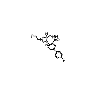 O=C1NC[C@H]2CN(CCF)C[C@@H]2c2ccc(-c3ccc(F)cc3)cc21